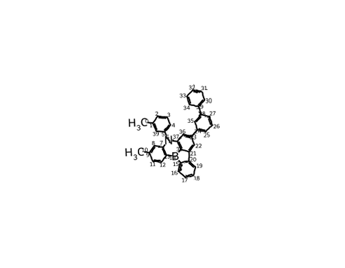 Cc1cccc(N2c3cc(C)ccc3B3c4ccccc4-c4cc(-c5cccc(-c6ccccc6)c5)cc2c43)c1